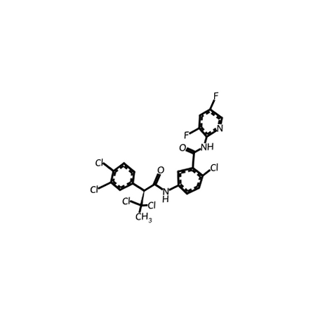 CC(Cl)(Cl)[C@H](C(=O)Nc1ccc(Cl)c(C(=O)Nc2ncc(F)cc2F)c1)c1ccc(Cl)c(Cl)c1